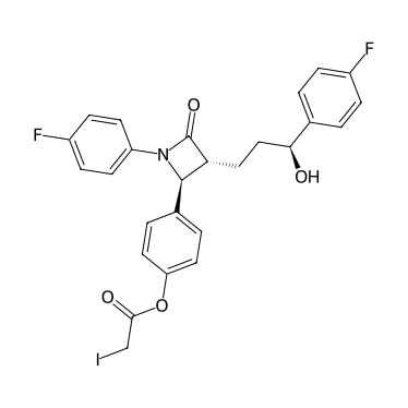 O=C(CI)Oc1ccc([C@@H]2[C@@H](CC[C@H](O)c3ccc(F)cc3)C(=O)N2c2ccc(F)cc2)cc1